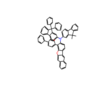 CC1(C)c2ccccc2-c2ccc(N(c3ccc4c(c3)C(c3ccccc3)(c3ccccc3)c3ccccc3-4)c3ccc4c(oc5cc6ccccc6cc54)c3-c3ccc(-c4ccccc4)cc3)cc21